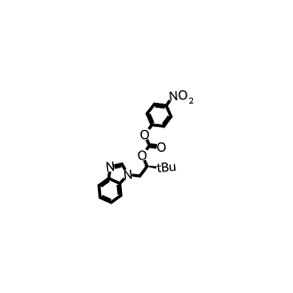 CC(C)(C)[C@@H](Cn1cnc2ccccc21)OC(=O)Oc1ccc([N+](=O)[O-])cc1